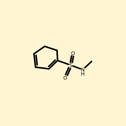 CNS(=O)(=O)C1=CC=CCC1